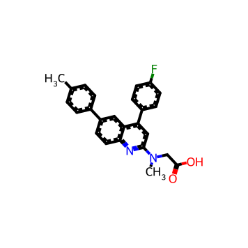 Cc1ccc(-c2ccc3nc(N(C)CC(=O)O)cc(-c4ccc(F)cc4)c3c2)cc1